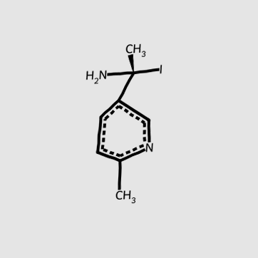 Cc1ccc([C@](C)(N)I)cn1